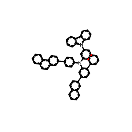 c1ccc(-c2ccc(-c3ccc4ccccc4c3)cc2N(c2ccc(-c3ccc4c(ccc5ccccc54)c3)cc2)c2cccc(-n3c4ccccc4c4ccccc43)c2)cc1